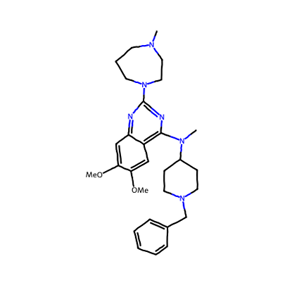 COc1cc2nc(N3CCCN(C)CC3)nc(N(C)C3CCN(Cc4ccccc4)CC3)c2cc1OC